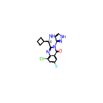 N[C@H](c1nc2c(Cl)cc(F)cc2c(=O)n1-c1cc[nH]n1)C1CCC1